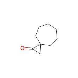 O=C1CC12CCCCCC2